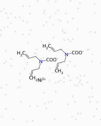 C=CCN(CC=C)C(=O)[O-].C=CCN(CC=C)C(=O)[O-].[Ni+2]